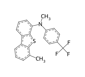 Cc1cccc2c1sc1c(N(C)c3ccc(C(F)(F)F)cc3)cccc12